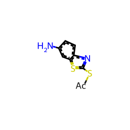 CC(=O)Sc1nc2ccc(N)cc2s1